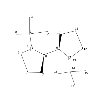 CC(C)(C)P1CCC[C@@H]1[C@H]1CCCP1C(C)(C)C